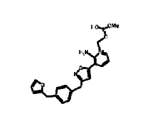 COP(O)OC[n+]1cccc(-c2cc(Cc3ccc(Cc4ccco4)cc3)no2)c1N